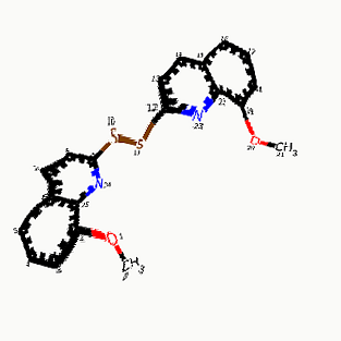 COc1cccc2ccc(SSc3ccc4cccc(OC)c4n3)nc12